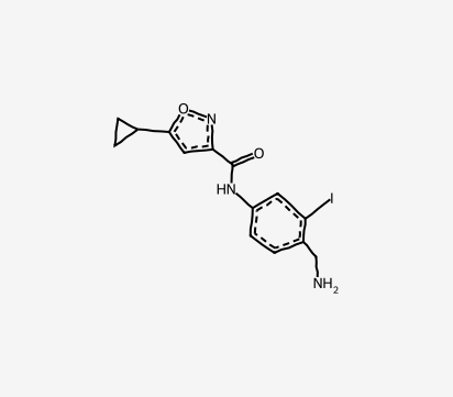 NCc1ccc(NC(=O)c2cc(C3CC3)on2)cc1I